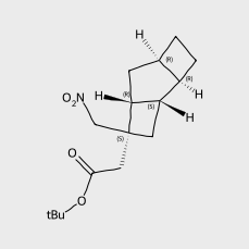 CC(C)(C)OC(=O)C[C@@]1(C[N+](=O)[O-])C[C@H]2[C@@H]3CC[C@@H]3C[C@H]21